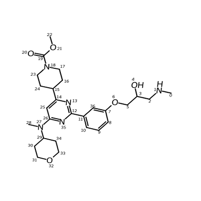 CNCC(O)COc1cccc(-c2nc(C3CCN(C(=O)OC)CC3)cc(N(C)C3CCOCC3)n2)c1